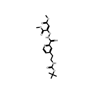 COC(=O)C=C(ONC(=N)c1cc(CCNC(=O)OC(C)(C)C)ccn1)C(=O)OC